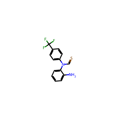 Nc1ccccc1N(C=S)c1ccc(C(F)(F)F)cc1